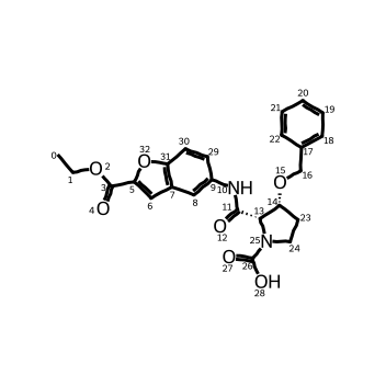 CCOC(=O)c1cc2cc(NC(=O)[C@@H]3[C@H](OCc4ccccc4)CCN3C(=O)O)ccc2o1